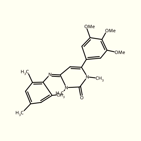 COc1cc(-c2c/c(=N/c3c(C)cc(C)cc3C)n(C)c(=O)n2C)cc(OC)c1OC